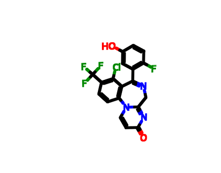 O=c1ccn2c(n1)CN=C(c1cc(O)ccc1F)c1c-2ccc(C(F)(F)F)c1Cl